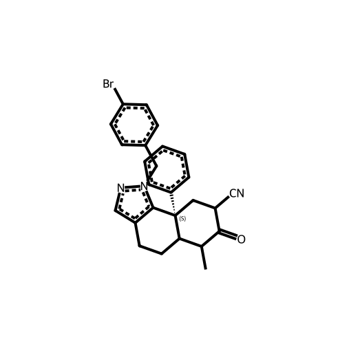 CC1C(=O)C(C#N)C[C@]2(c3ccccc3)c3c(cnn3Cc3ccc(Br)cc3)CCC12